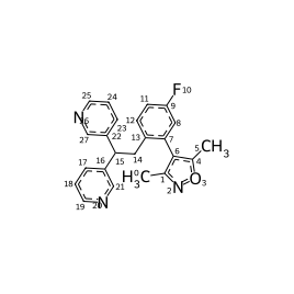 Cc1noc(C)c1-c1cc(F)ccc1CC(c1cccnc1)c1cccnc1